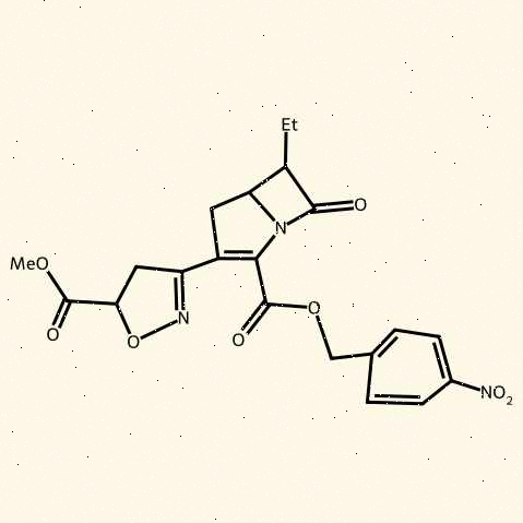 CCC1C(=O)N2C(C(=O)OCc3ccc([N+](=O)[O-])cc3)=C(C3=NOC(C(=O)OC)C3)CC12